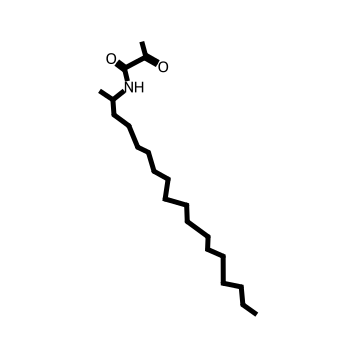 CCCCCCCCCCCCCCCCC(C)NC(=O)C(C)=O